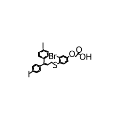 O=C(O)COc1ccc(SCC=C(c2ccc(I)cc2)c2ccc(I)cc2)c(Br)c1